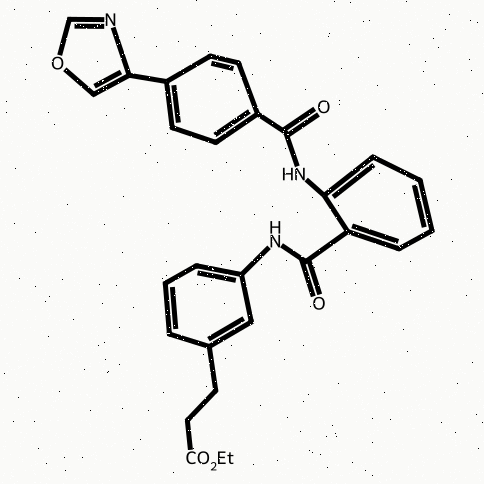 CCOC(=O)CCc1cccc(NC(=O)c2ccccc2NC(=O)c2ccc(-c3cocn3)cc2)c1